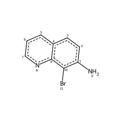 Nc1ccc2cccnc2c1Br